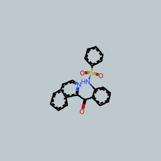 O=C(c1ccccc1NS(=O)(=O)c1ccccc1)c1nccc2ccccc12